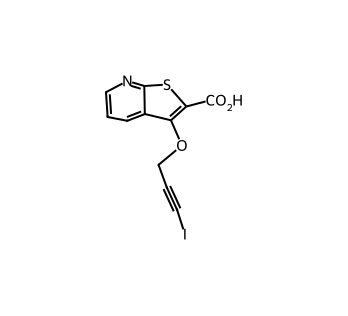 O=C(O)c1sc2ncccc2c1OCC#CI